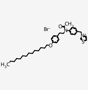 CCCCCCCCCCCCCCOc1ccc(CCN(C(C)=O)c2ccc(C[n+]3ccsc3)cc2)cc1.[Br-]